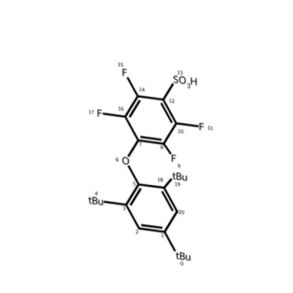 CC(C)(C)c1cc(C(C)(C)C)c(Oc2c(F)c(F)c(S(=O)(=O)O)c(F)c2F)c(C(C)(C)C)c1